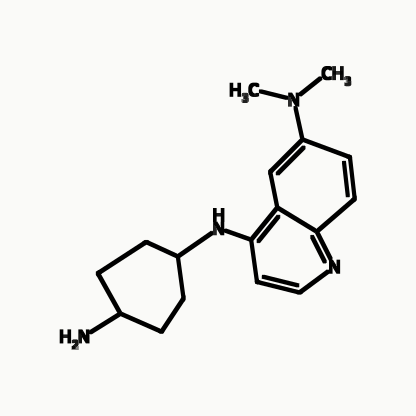 CN(C)c1ccc2nccc(NC3CCC(N)CC3)c2c1